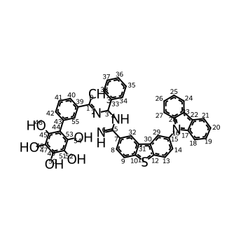 C/C(=N\C(NC(=N)c1ccc2sc3ccc(-n4c5ccccc5c5ccccc54)cc3c2c1)c1ccccc1)c1cccc(-c2c(O)c(O)c(O)c(O)c2O)c1